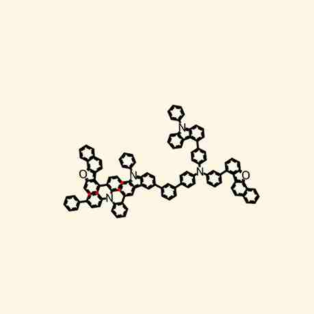 c1ccc(-c2ccc(N(c3ccccc3-c3ccc4c(c3)c3cc(-c5cccc(-c6ccc(N(c7ccc(-c8cccc9c8c8ccccc8n9-c8ccccc8)cc7)c7cccc(-c8cccc9oc%10c%11ccccc%11ccc%10c89)c7)cc6)c5)ccc3n4-c3ccccc3)c3ccccc3-c3cccc4oc5c6ccccc6ccc5c34)cc2)cc1